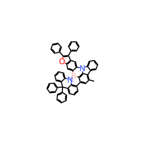 Cc1cc2c3c4c1c1ccccc1n4-c1cc4c(-c5ccccc5)c(-c5ccccc5)oc4cc1B3N1c3ccccc3C(c3ccccc3)(c3ccccc3)c3cccc-2c31